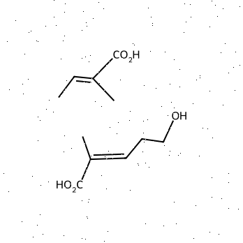 C/C(=C\CCO)C(=O)O.C/C=C(\C)C(=O)O